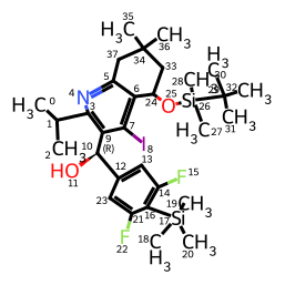 CC(C)c1nc2c(c(I)c1[C@H](O)c1cc(F)c([Si](C)(C)C)c(F)c1)C(O[Si](C)(C)C(C)(C)C)CC(C)(C)C2